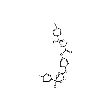 Cc1ccc(S(=O)(=O)O[C@@H](C)C(=O)Oc2ccc(OC(=O)[C@H](C)OS(=O)(=O)c3ccc(C)cc3)cc2)cc1